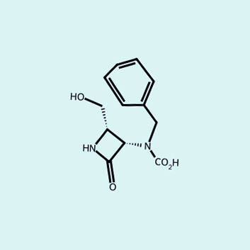 O=C1N[C@H](CO)[C@@H]1N(Cc1ccccc1)C(=O)O